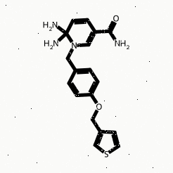 NC(=O)C1=CN(Cc2ccc(OCc3ccsc3)cc2)C(N)(N)C=C1